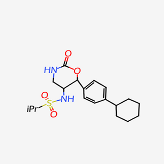 CC(C)S(=O)(=O)NC1CNC(=O)OC1c1ccc(C2CCCCC2)cc1